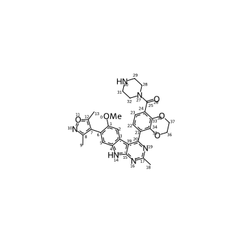 COc1cc2c(cc1-c1c(C)noc1C)[nH]c1nc(C)nc(-c3ccc(C(=O)N4CCNCC4)c4c3OCCO4)c12